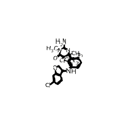 CN1C(=O)C(C)(C)[C@@](C)(c2cc(NC3COc4cc(Cl)ccc43)ccc2F)N=C1N